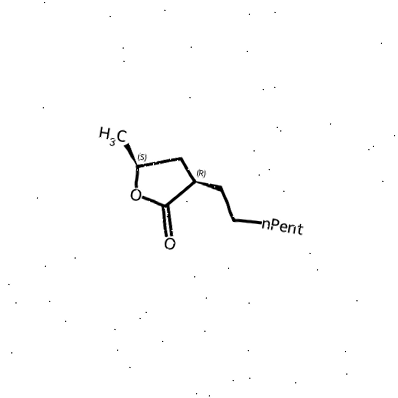 CCCCCCC[C@@H]1C[C@H](C)OC1=O